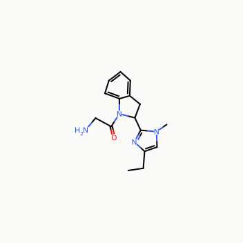 CCc1cn(C)c(C2Cc3ccccc3N2C(=O)CN)n1